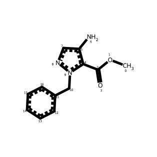 COC(=O)c1c(N)cnn1Cc1ccccc1